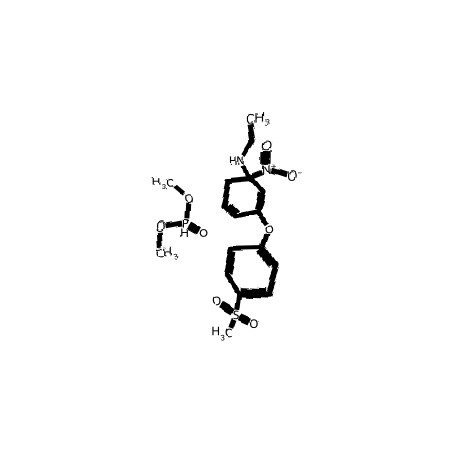 CCNC1([N+](=O)[O-])C=C(Oc2ccc(S(C)(=O)=O)cc2)C=CC1.CO[PH](=O)OC